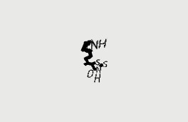 CC(C=Cc1ccc[nH]1)=C1SC(=S)NC1=O